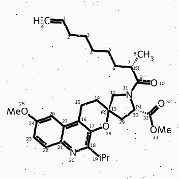 C=CCCCCC[C@H](C)C(=O)N1C[C@@]2(CCc3c(c(C(C)C)nc4ccc(OC)cc34)O2)C[C@H]1C(=O)OC